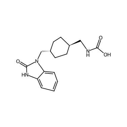 O=C(O)NC[C@H]1CC[C@H](Cn2c(=O)[nH]c3ccccc32)CC1